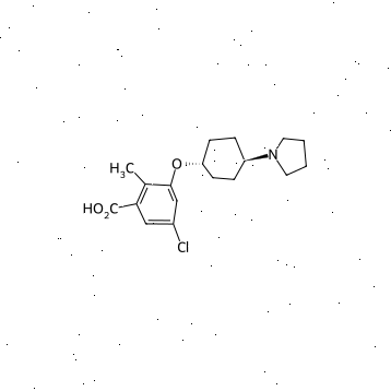 Cc1c(O[C@H]2CC[C@H](N3CCCC3)CC2)cc(Cl)cc1C(=O)O